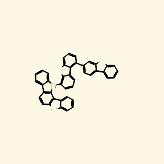 c1ccc2c(c1)oc1cc(-c3cccc4sc5c(-n6c7ccccc7c7ccc8oc9ccccc9c8c76)cccc5c34)ccc12